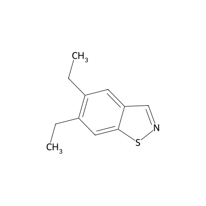 CCc1cc2cnsc2cc1CC